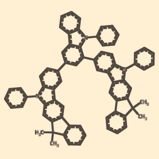 CC1(C)c2ccccc2-c2cc3c4cc(-c5cc(-c6ccc7c(c6)c6cc8c(cc6n7-c6ccccc6)C(C)(C)c6ccccc6-8)c6c(c5)c5ccccc5n6-c5ccccc5)ccc4n(-c4ccccc4)c3cc21